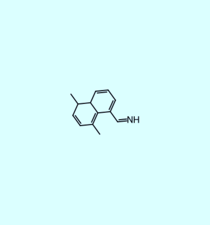 CC1=C2C(C=N)=CC=CC2C(C)C=C1